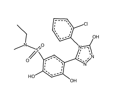 CCN(C)S(=O)(=O)c1cc(-c2nnc(O)n2-c2ccccc2Cl)c(O)cc1O